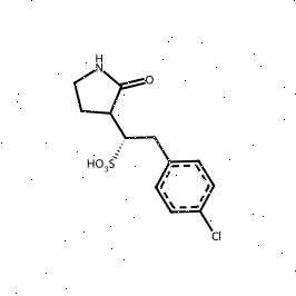 O=C1NCCC1[C@H](Cc1ccc(Cl)cc1)S(=O)(=O)O